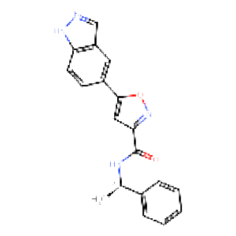 C[C@@H](NC(=O)c1cc(-c2ccc3[nH]ncc3c2)on1)c1ccccc1